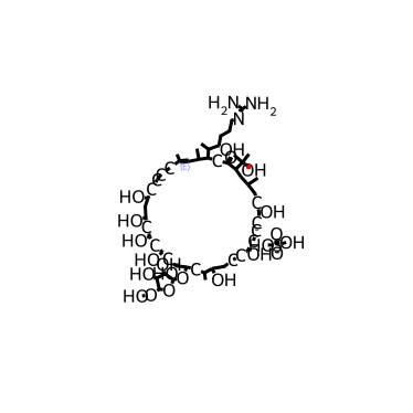 C/C1=C\C(C)C(C(C)C(O)CCCN=C(N)N)CC(=O)C(C(C)(C)C)C(O)C(C)CCC(O)CCCC(O)CCCC(O)C(C)CC(OC2OC(OO)C(O)C2O)C(O)CC(O)CC(O)CC(O)CC(O)CCCC1.O=S(=O)(O)O